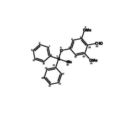 COc1cc(O[Si](c2ccccc2)(c2ccccc2)C(C)(C)C)cc(OC)c1C=O